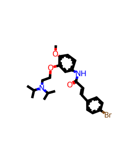 COc1ccc(NC(=O)C=Cc2ccc(Br)cc2)cc1OCCN(C(C)C)C(C)C